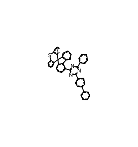 c1ccc(-c2ccc(-c3nc(-c4ccccc4)nc(-c4cccc5c4-c4ccccc4C54c5ccccc5Sc5ccccc54)n3)cc2)cc1